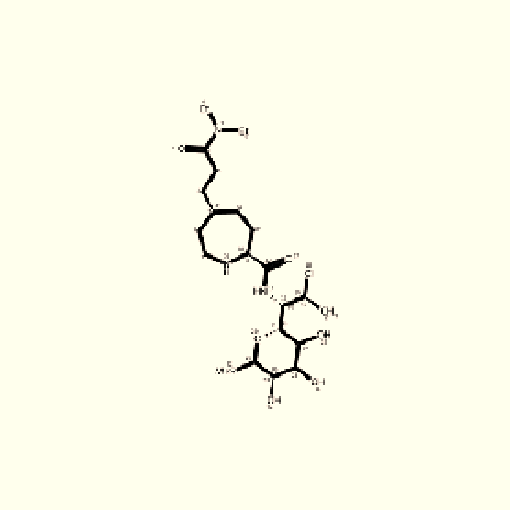 CCN(CC)C(=O)CC[C@@H]1CCN[C@H](C(=O)N[C@H]([C@H](C)Cl)[C@H]2OC(SC)[C@H](O)C(O)C2O)CC1